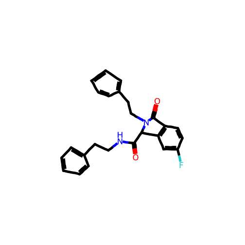 O=C(NCCc1ccccc1)C1c2cc(F)ccc2C(=O)N1CCc1ccccc1